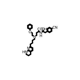 N#Cc1ccc(CC(=O)NC(CCN(CCCCc2ccc3c(n2)NCCC3)CCOc2ccccc2)C(=O)O)cc1